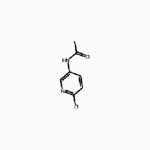 CC(=O)Nc1ccc(Cl)nc1